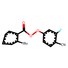 CC(C)(C)c1ccccc1C(=O)OOc1ccc(C#N)c(F)c1